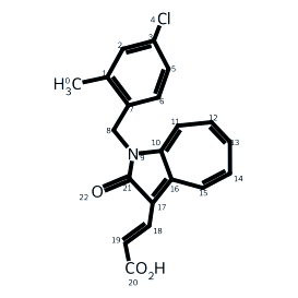 Cc1cc(Cl)ccc1Cn1c2cccccc-2c(C=CC(=O)O)c1=O